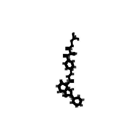 CN(C)CCNC(=O)Nc1ccc(CCNc2ncnc3oc(-c4ccccc4)cc23)cc1